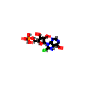 O=P(O)(O)OC[C@H]1O[C@@H](n2c(Cl)nc3c(O)ncnc32)C(O)C1O